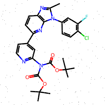 Cc1nc2ccc(-c3ccnc(N(C(=O)OC(C)(C)C)C(=O)OC(C)(C)C)c3)nc2n1-c1ccc(Cl)c(F)c1